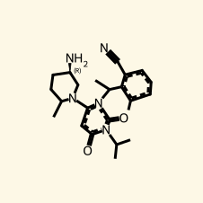 Cc1cccc(C#N)c1C(C)n1c(N2C[C@H](N)CCC2C)cc(=O)n(C(C)C)c1=O